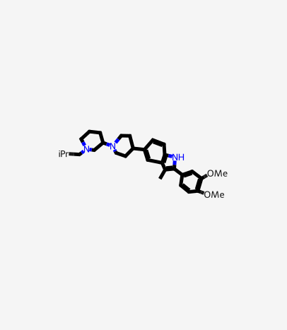 COc1ccc(-c2[nH]c3ccc(C4CCN(C5CCCN(CC(C)C)C5)CC4)cc3c2C)cc1OC